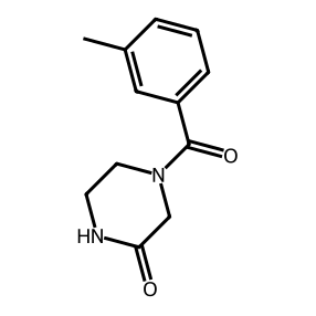 Cc1cccc(C(=O)N2CCNC(=O)C2)c1